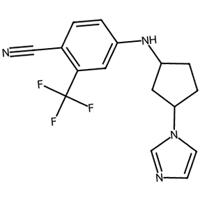 N#Cc1ccc(NC2CCC(n3ccnc3)C2)cc1C(F)(F)F